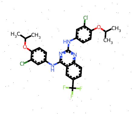 CC(C)Oc1ccc(Nc2nc(Nc3ccc(OC(C)C)c(Cl)c3)c3cc(C(F)(F)F)ccc3n2)cc1Cl